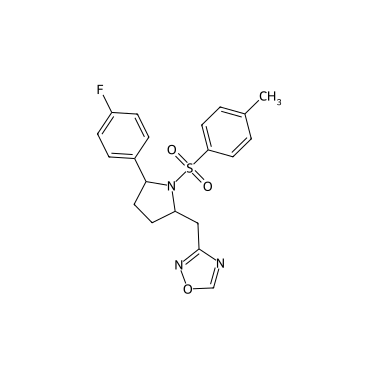 Cc1ccc(S(=O)(=O)N2C(Cc3ncon3)CCC2c2ccc(F)cc2)cc1